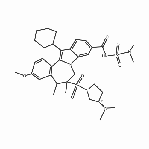 COc1ccc2c(c1)C(C)C(C)(S(=O)(=O)N1CC[C@@H](N(C)C)C1)Cn1c-2c(C2CCCCC2)c2ccc(C(=O)NS(=O)(=O)N(C)C)cc21